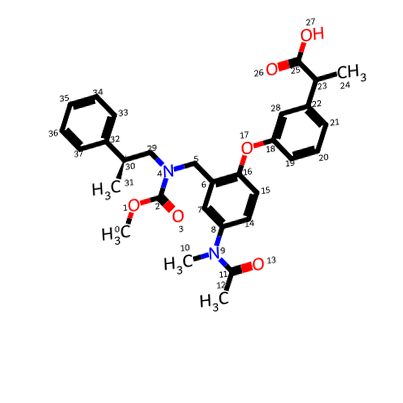 COC(=O)N(Cc1cc(N(C)C(C)=O)ccc1Oc1cccc(C(C)C(=O)O)c1)C[C@@H](C)c1ccccc1